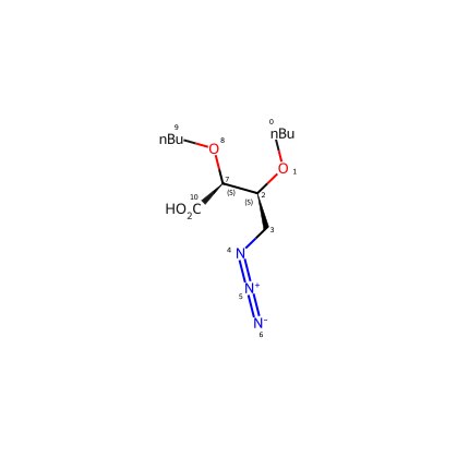 CCCCO[C@@H](CN=[N+]=[N-])[C@H](OCCCC)C(=O)O